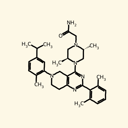 Cc1ccc(C(C)C)cc1N1CCc2nc(-c3c(C)cccc3C)nc(N3C[C@@H](C)N(CC(N)=O)C[C@@H]3C)c2C1